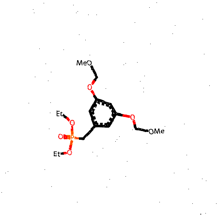 CCOP(=O)(Cc1cc(OCOC)cc(OCOC)c1)OCC